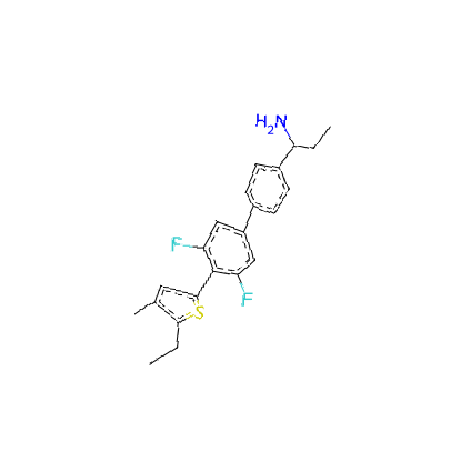 CCc1sc(-c2c(F)cc(-c3ccc(C(N)CC)cc3)cc2F)cc1C